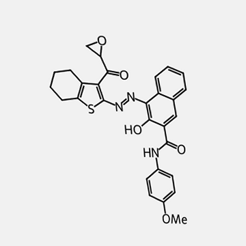 COc1ccc(NC(=O)c2cc3ccccc3c(/N=N/c3sc4c(c3C(=O)C3CO3)CCCC4)c2O)cc1